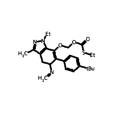 C=NC1Cc2c(C)nn(CC)c2C(OCOC(=O)SCC)=C1c1ccc(C(C)(C)C)cc1